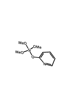 CO[Si](OC)(OC)Oc1ccccn1